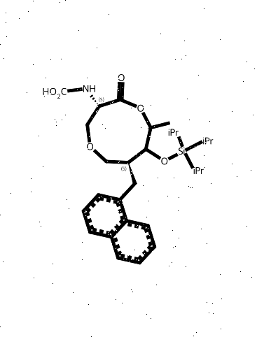 CC1OC(=O)[C@@H](NC(=O)O)COC[C@H](Cc2cccc3ccccc23)C1O[Si](C(C)C)(C(C)C)C(C)C